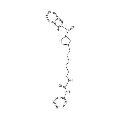 O=C(NCCCCCCC1CCN(C(=O)c2cc3ccccc3[nH]2)C1)Nc1ccncc1